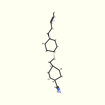 C/C=C/CC[C@H]1CC[C@H](CCC2CCC(C#N)CC2)CC1